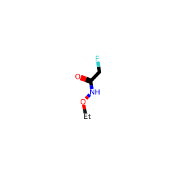 CCONC(=O)CF